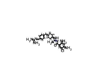 NC(N)=NCc1ccc(CN2CCC(N/C(N)=N/C(=O)c3nc(Cl)c(N)nc3N)CC2)cc1